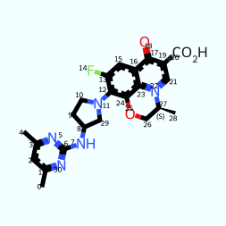 Cc1cc(C)nc(NC2CCN(c3c(F)cc4c(=O)c(C(=O)O)cn5c4c3OC[C@@H]5C)C2)n1